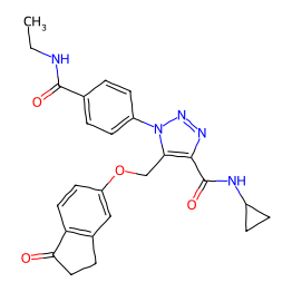 CCNC(=O)c1ccc(-n2nnc(C(=O)NC3CC3)c2COc2ccc3c(c2)CCC3=O)cc1